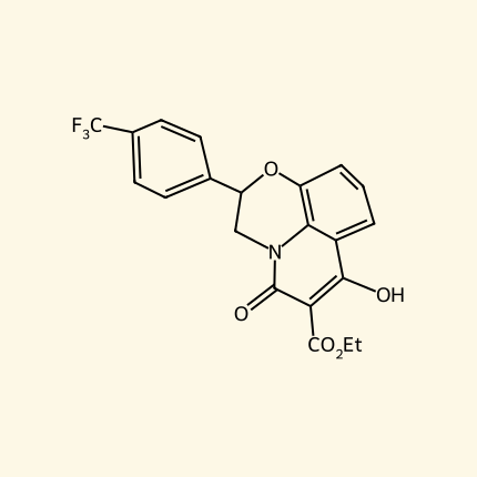 CCOC(=O)c1c(O)c2cccc3c2n(c1=O)CC(c1ccc(C(F)(F)F)cc1)O3